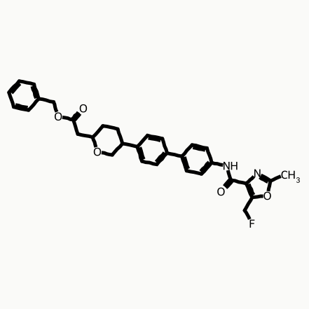 Cc1nc(C(=O)Nc2ccc(-c3ccc(C4CCC(CC(=O)OCc5ccccc5)OC4)cc3)cc2)c(CF)o1